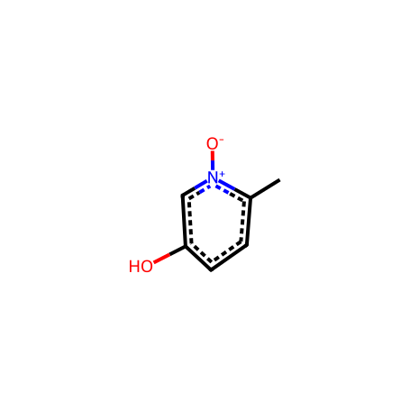 Cc1ccc(O)c[n+]1[O-]